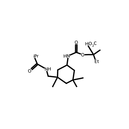 CCC(C)(OC(=O)NC1CC(C)(C)CC(C)(CNC(=O)C(C)C)C1)C(=O)O